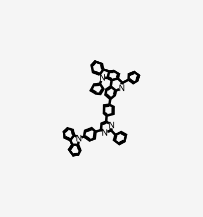 c1ccc(-c2nc(-c3ccc(-c4ccc5c(c4)nc(-c4ccccc4)c4ccc6c7ccccc7n(-c7ccccc7)c6c45)cc3)cc(-c3ccc(-n4c5ccccc5c5ccccc54)cc3)n2)cc1